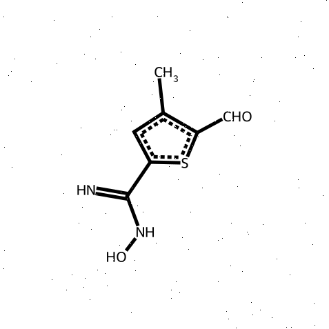 Cc1cc(C(=N)NO)sc1C=O